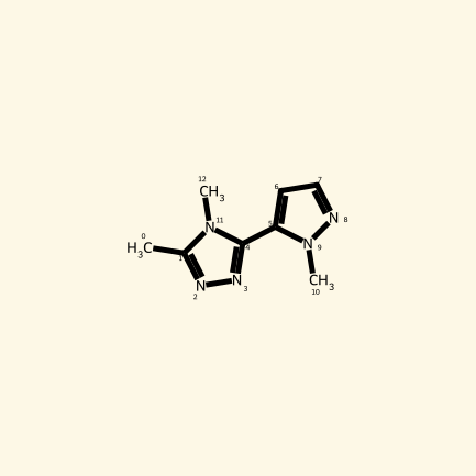 Cc1nnc(-c2ccnn2C)n1C